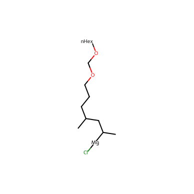 CCCCCCOCOCCCC(C)C[CH](C)[Mg][Cl]